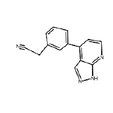 N#CCc1cccc(-c2ccnc3[nH]ncc23)c1